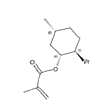 C=C(C)C(=O)O[C@@H]1C[C@H](C)CC[C@H]1C(C)C